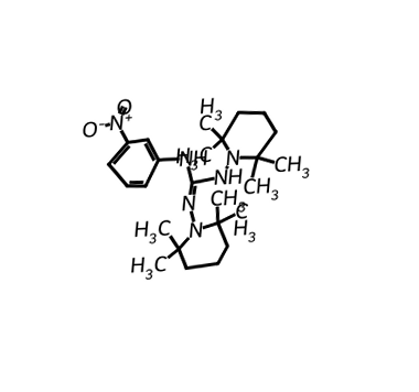 CC1(C)CCCC(C)(C)N1N=C(Nc1cccc([N+](=O)[O-])c1)NN1C(C)(C)CCCC1(C)C